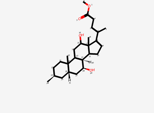 COC(=O)CCC(C)C1CCC2[C@@H]3C(CC(O)C12C)C1(C)CC[C@H](C)C[C@H]1C[C@@H]3O